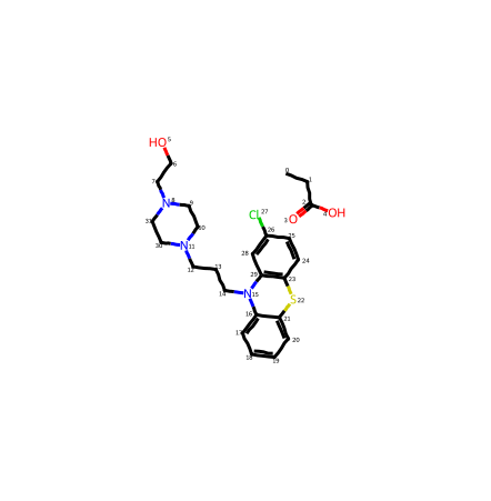 CCC(=O)O.OCCN1CCN(CCCN2c3ccccc3Sc3ccc(Cl)cc32)CC1